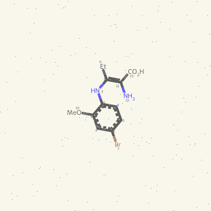 CCC(Nc1ccc(Br)cc1OC)=C(N)C(=O)O